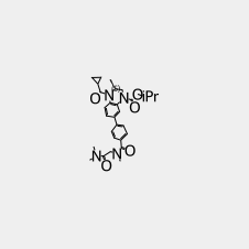 CC(C)OC(=O)N1C[C@H](C)N(C(=O)C2CC2)c2ccc(-c3ccc(C(=O)N(C)CC(=O)N(C)C)cc3)cc21